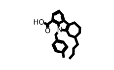 CCCCC1CCCc2c(n(Cc3ccc(C)cc3)c3c(C(=O)O)cccc23)C1